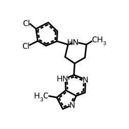 Cc1cnc2cnc(C3CC(C)NC(c4ccc(Cl)c(Cl)c4)C3)[nH]c1-2